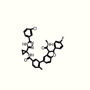 CNC(=O)C1c2cc(-c3cc(C(=O)NC4(c5nnc(-c6cccc(Cl)c6)[nH]5)CC4)ccc3C)ccc2OC1c1ccc(F)cc1